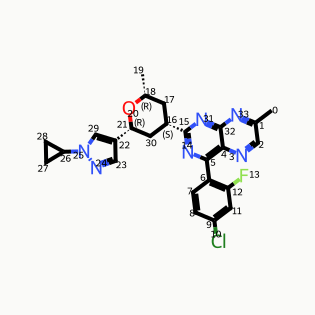 Cc1cnc2c(-c3ccc(Cl)cc3F)nc([C@H]3C[C@@H](C)O[C@@H](c4cnn(C5CC5)c4)C3)nc2n1